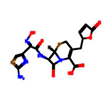 Nc1nc(/C(=N/O)C(=O)N[C@@H]2C(=O)N3C(C(=O)O)=C(CC4C=CC(=O)O4)CS[C@@H]23)cs1